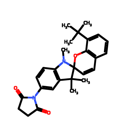 CN1c2ccc(N3C(=O)CCC3=O)cc2C(C)(C)C12C=Cc1cccc(C(C)(C)C)c1O2